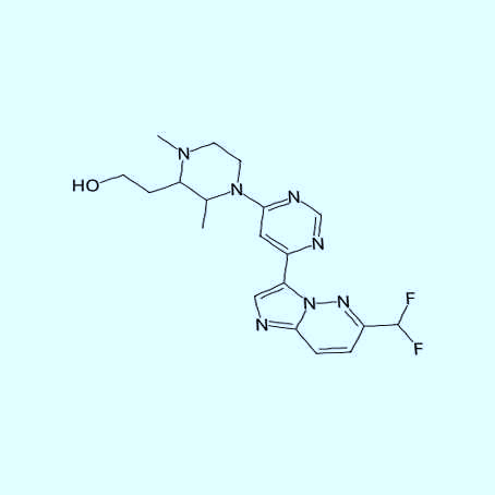 CC1C(CCO)N(C)CCN1c1cc(-c2cnc3ccc(C(F)F)nn23)ncn1